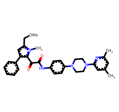 COCc1cc(-c2ccccc2)c(C(=O)C(=O)Nc2ccc(N3CCN(c4cc(C)cc(C)n4)CC3)cc2)n1C